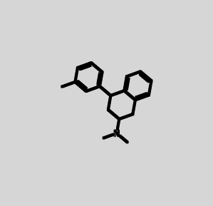 Cc1cccc(C2CC(N(C)C)Cc3ccccc32)c1